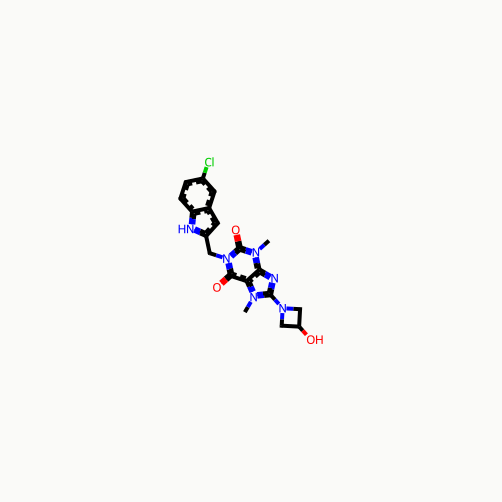 Cn1c(N2CC(O)C2)nc2c1c(=O)n(Cc1cc3cc(Cl)ccc3[nH]1)c(=O)n2C